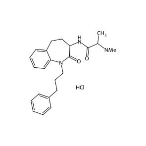 CNC(C)C(=O)NC1CCc2ccccc2N(CCCc2ccccc2)C1=O.Cl